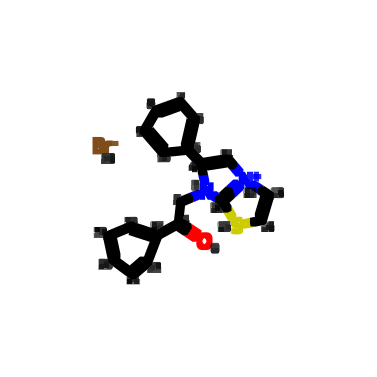 O=C(Cn1c(-c2ccccc2)c[n+]2ccsc12)c1ccccc1.[Br-]